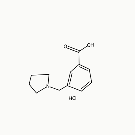 Cl.O=C(O)c1cccc(CN2CCCC2)c1